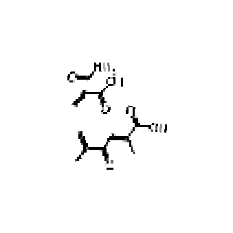 C=C(C)C(=O)/C=C(\C)C(=O)O.C=CC(=O)O.NC=O